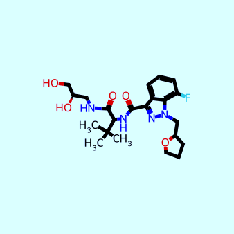 CC(C)(C)C(NC(=O)c1nn(CC2CCCO2)c2c(F)cccc12)C(=O)NC[C@@H](O)CO